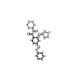 O=C(NC1CCCCC1)c1ccc(OCc2ccccc2)cc1OC1CCCC1